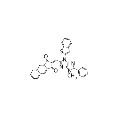 Cn1c(-c2ccccc2)nc2c1nc(C=C1C(=O)c3cc4ccccc4cc3C1=O)n2-c1cc2ccccc2s1